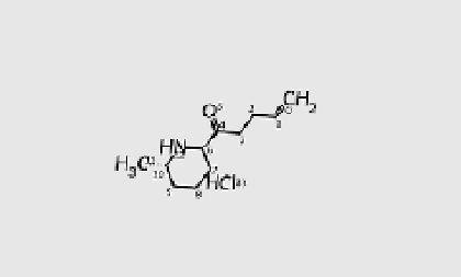 C=CCCC(=O)[C@H]1CCC[C@H](C)N1.Cl